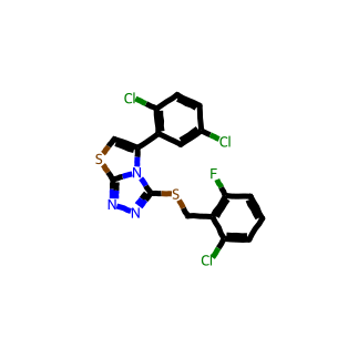 Fc1cccc(Cl)c1CSc1nnc2scc(-c3cc(Cl)ccc3Cl)n12